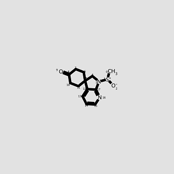 C[S+]([O-])N1CC2(CCC(=O)CC2)c2cccnc21